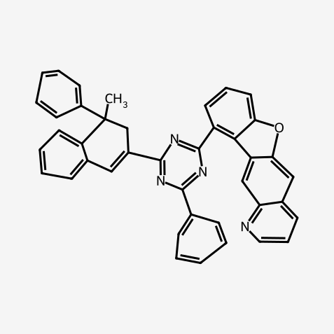 CC1(c2ccccc2)CC(c2nc(-c3ccccc3)nc(-c3cccc4oc5cc6cccnc6cc5c34)n2)=Cc2ccccc21